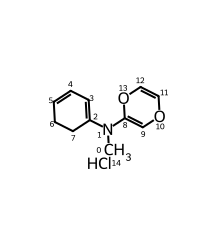 CN(C1=CC=CCC1)C1=COC=CO1.Cl